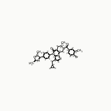 C=C1N=C(c2ccc(-n3c(=O)c4c(n5ncc(CC6CC6)c35)CN(C(=O)c3ccc(Br)c(C)c3)[C@@H](C)C4)cc2)N(C)O1